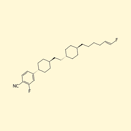 N#Cc1ccc([C@H]2CC[C@H](CC[C@H]3CC[C@H](CCCCC=CF)CC3)CC2)cc1F